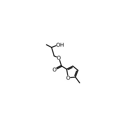 Cc1ccc(C(=O)OCC(C)O)o1